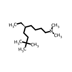 CC[C@@H](CCCCN(C)C)CCC(C)(C)C